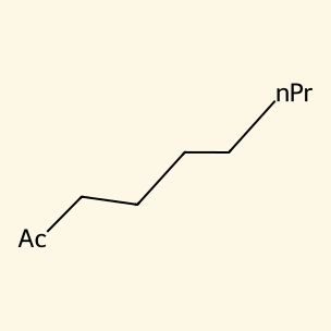 [C]C(=O)CCCCCCC